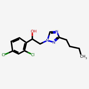 CCCCc1ncn(CC(O)c2ccc(Cl)cc2Cl)n1